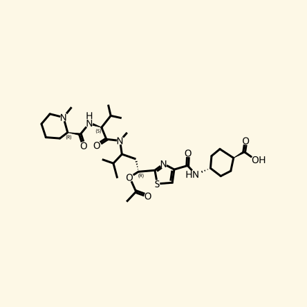 CC(=O)O[C@H](CC(C(C)C)N(C)C(=O)[C@@H](NC(=O)[C@H]1CCCCN1C)C(C)C)c1nc(C(=O)N[C@H]2CC[C@H](C(=O)O)CC2)cs1